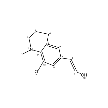 CN1CCCc2cc(C=NO)cc(Cl)c21